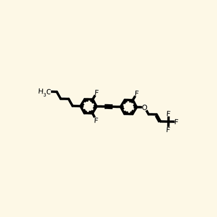 CCCCCc1cc(F)c(C#Cc2ccc(OCC=CC(F)(F)F)c(F)c2)c(F)c1